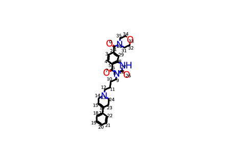 O=C(c1ccc2c(=O)n(CCCCN3CC=C(c4ccccc4)CC3)c(=O)[nH]c2c1)N1CCOCC1